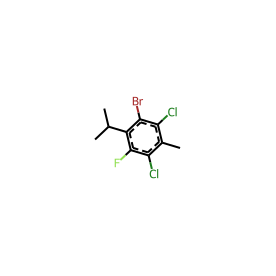 Cc1c(Cl)c(F)c(C(C)C)c(Br)c1Cl